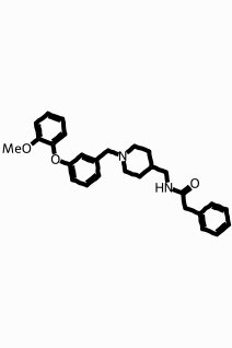 COc1ccccc1Oc1cccc(CN2CCC(CNC(=O)Cc3ccccc3)CC2)c1